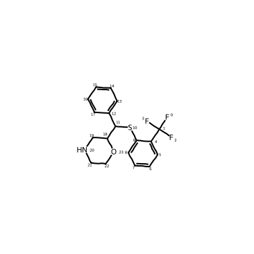 FC(F)(F)c1ccccc1SC(c1ccccc1)C1CNCCO1